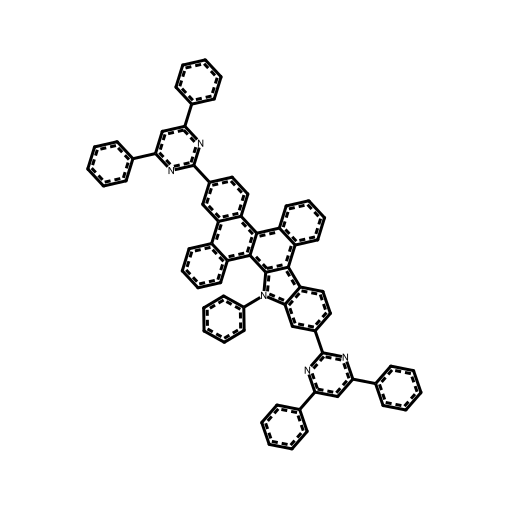 c1ccc(-c2cc(-c3ccccc3)nc(-c3ccc4c(c3)c3ccccc3c3c4c4ccccc4c4c5ccc(-c6nc(-c7ccccc7)cc(-c7ccccc7)n6)cc5n(-c5ccccc5)c43)n2)cc1